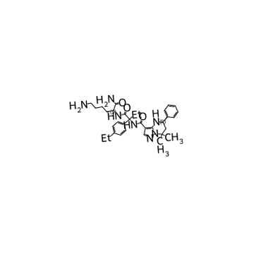 CCc1ccc(C(CC)(NC(=O)c2cnn3c2N[C@@H](c2ccccc2)CC3(C)C)C(=O)N[C@@H](CCCCN)C(N)=O)cc1